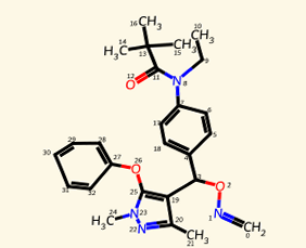 C=NOC(c1ccc(N(CC)C(=O)C(C)(C)C)cc1)c1c(C)nn(C)c1Oc1ccccc1